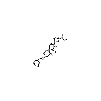 CCN[C@@H]1CCN(c2ccc(-n3ccc(OCc4ccccc4)cc3=O)c(=O)[nH]2)C1